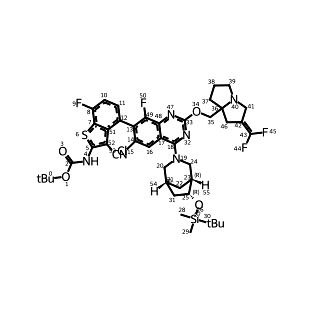 CC(C)(C)OC(=O)Nc1sc2c(F)ccc(-c3c(Cl)cc4c(N5C[C@@H]6C[C@H](C5)[C@H](O[Si](C)(C)C(C)(C)C)C6)nc(OCC56CCCN5CC(=C(F)F)C6)nc4c3F)c2c1C#N